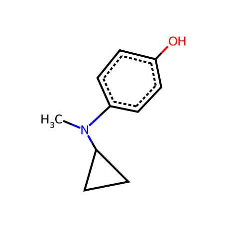 CN(c1ccc(O)cc1)C1CC1